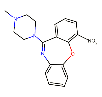 CN1CCN(C2=Nc3ccccc3Oc3c2cccc3[N+](=O)[O-])CC1